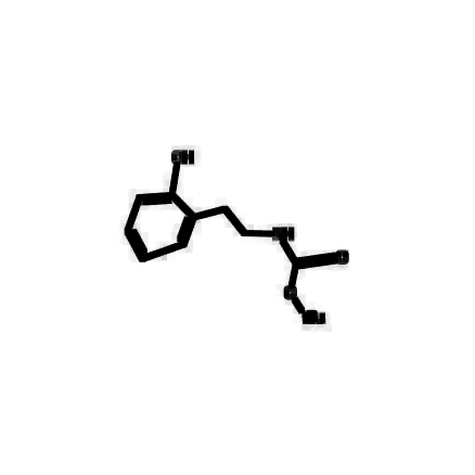 CC(C)(C)OC(=O)NCCc1ccccc1O